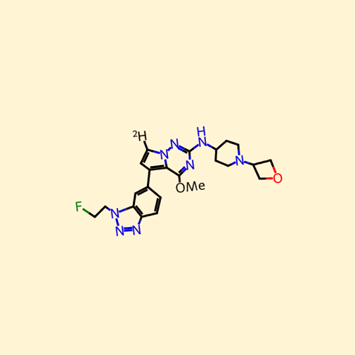 [2H]c1cc(-c2ccc3nnn(CCF)c3c2)c2c(OC)nc(NC3CCN(C4COC4)CC3)nn12